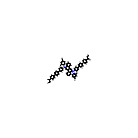 CCC(C)c1ccc(-c2ccc(-c3ccc(N(c4ccc(C)cc4C)c4cc5c6ccccc6c(N(c6ccc(-c7ccc(-c8ccc(C(C)CC)cc8)cc7)cc6)c6ccc(C)cc6C)cc5c5ccccc45)cc3)cc2)cc1